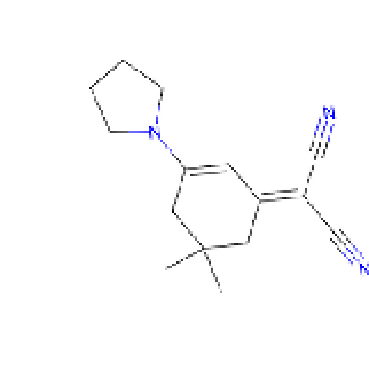 CC1(C)CC(N2CCCC2)=CC(=C(C#N)C#N)C1